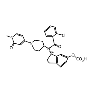 Cn1ccc(N2CCC(N(C(=O)c3ccccc3Cl)[C@@H]3CCc4ccc(OC(=O)O)cc43)CC2)cc1=O